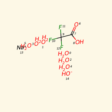 O.O.O.O.O.O.O=C(O)C(F)(F)F.[Na+].[OH-]